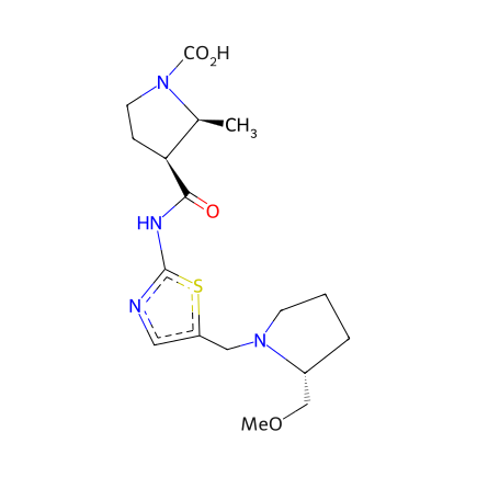 COC[C@H]1CCCN1Cc1cnc(NC(=O)[C@H]2CCN(C(=O)O)[C@H]2C)s1